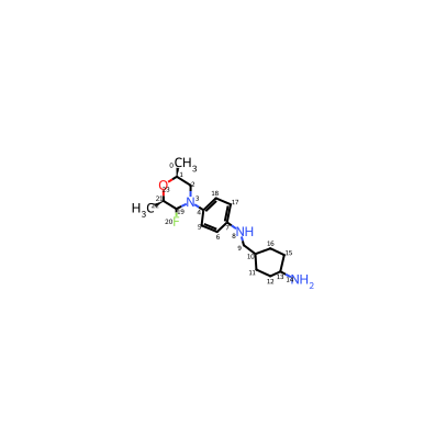 C[C@H]1CN(c2ccc(NCC3CCC(N)CC3)cc2)C(F)[C@@H](C)O1